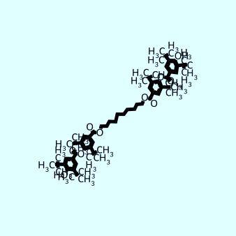 CC(C)(C)c1cc(C(=O)Oc2c(C(C)(C)C)cc(C(=O)OCCCCCCCCCCOC(=O)c3cc(C(C)(C)C)c(OC(=O)c4cc(C(C)(C)C)c(O)c(C(C)(C)C)c4)c(C(C)(C)C)c3)cc2C(C)(C)C)cc(C(C)(C)C)c1O